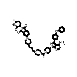 Nc1ncnc2c1c(-c1ccc(Oc3ccccc3)cc1)nn2C1CCN(C(=O)N2CCN(CCCC3CCN(c4ccc5c(c4)C(=O)N(C4CCC(=O)NC4=O)C5=O)CC3)CC2)CC1